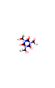 [CH2]CC(=O)n1c(=O)n(C(=O)C[CH2])c(=O)n(C(=O)C[CH2])c1=O